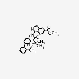 COC(=O)c1ccc2c(N(Cc3ccc(-c4ccccc4C)cc3)C(=O)CC(C)(C)C)nccc2c1